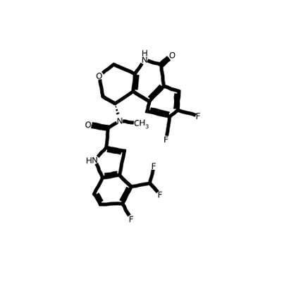 CN(C(=O)c1cc2c(C(F)F)c(F)ccc2[nH]1)[C@@H]1COCc2[nH]c(=O)c3cc(F)c(F)cc3c21